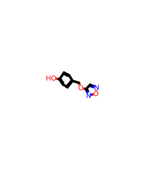 Oc1ccc(COc2cnon2)cc1